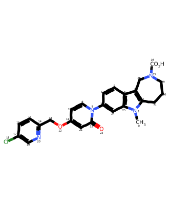 Cn1c2c(c3ccc(-n4ccc(OCc5ccc(Cl)cn5)cc4=O)cc31)CN(C(=O)O)CCC2